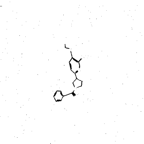 CNc1nc(C2CCN(C(=O)c3ccccc3)C2)ccc1NCC(C)(C)C